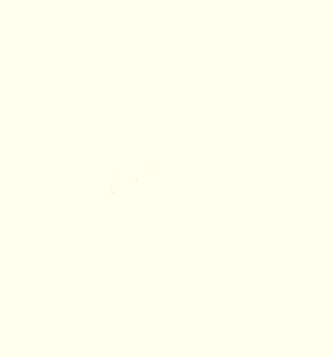 C=CCCC(NC(=O)OC(C)(C)C)C(=O)OCC